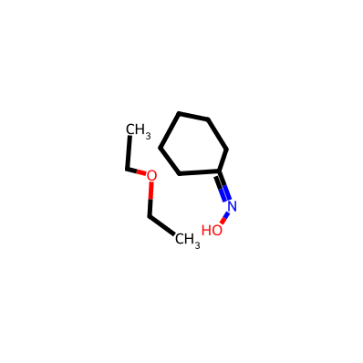 CCOCC.ON=C1CCCCC1